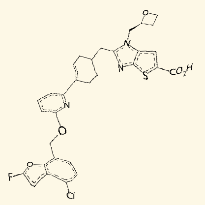 O=C(O)c1cc2c(nc(CC3CC=C(c4cccc(OCc5ccc(Cl)c6cc(F)oc56)n4)CC3)n2C[C@@H]2CCO2)s1